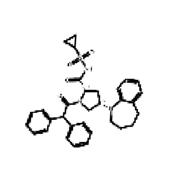 O=C(NS(=O)(=O)C1CC1)[C@@H]1C[C@H](N2CCCCc3ccccc32)CN1C(=O)C(c1ccccc1)c1ccccc1